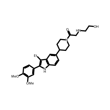 CCc1c(-c2ccc(OC)c(OC)c2)[nH]c2ccc(C3CCN(C(=O)CNCCO)CC3)cc12